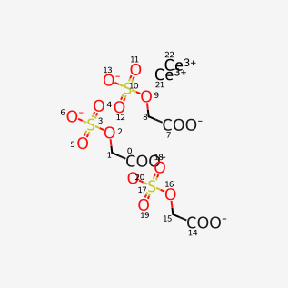 O=C([O-])COS(=O)(=O)[O-].O=C([O-])COS(=O)(=O)[O-].O=C([O-])COS(=O)(=O)[O-].[Ce+3].[Ce+3]